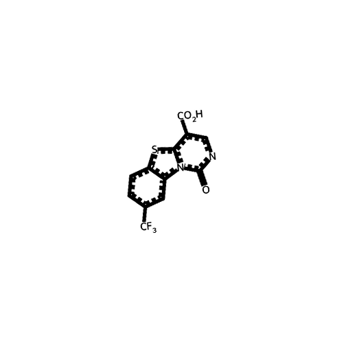 O=C(O)c1cnc(=O)n2c1sc1ccc(C(F)(F)F)cc12